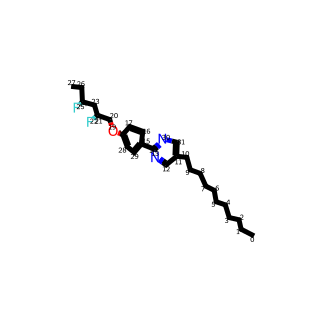 CCCCCCCCCCCc1cnc(-c2ccc(OCC(F)CC(F)CC)cc2)nc1